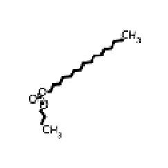 CCCCCCCCCCCCCCCCO[P](=O)OCCCC